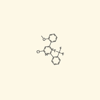 COc1ccccc1-c1cc(Cl)nc(-c2ccccc2C(F)(F)F)n1